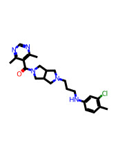 Cc1ccc(NCCCN2CC3CN(C(=O)c4c(C)ncnc4C)CC3C2)cc1Cl